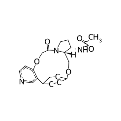 CS(=O)(=O)N[C@H]1CCN2C(=O)COc3ccncc3C3CCC(CC3)OC[C@@H]12